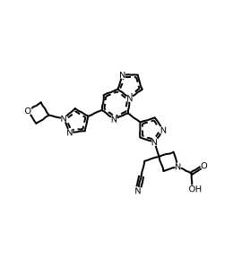 N#CCC1(n2cc(-c3nc(-c4cnn(C5COC5)c4)cc4nccn34)cn2)CN(C(=O)O)C1